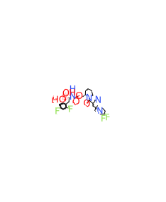 CC(C)(C=C(C#N)C(=O)N1CCCC[C@@H]1COC(=O)NC(Cc1ccc(F)cc1F)B(O)O)N1CCC(F)(F)C1